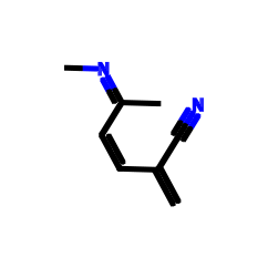 C=C(C#N)/C=C\C(C)=N/C